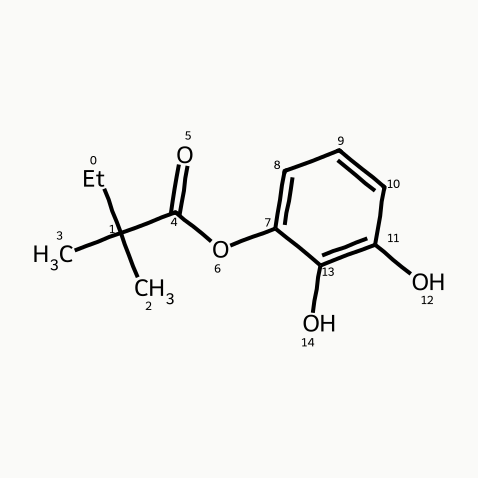 CCC(C)(C)C(=O)Oc1cccc(O)c1O